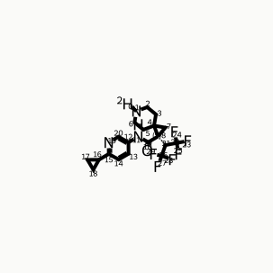 [2H]N1CCC2(CC1)C[C@]2(C(=O)Nc1ccc(C2CC2)nc1)C(C(F)(F)F)C(F)(F)F